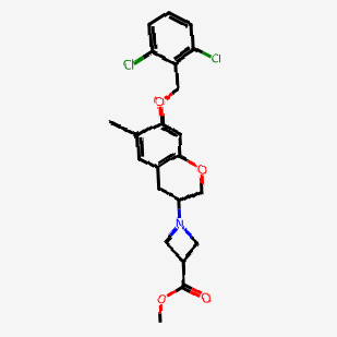 COC(=O)C1CN(C2COc3cc(OCc4c(Cl)cccc4Cl)c(C)cc3C2)C1